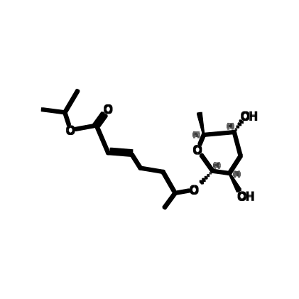 CC(C)OC(=O)C=CCCC(C)O[C@@H]1O[C@@H](C)[C@H](O)C[C@H]1O